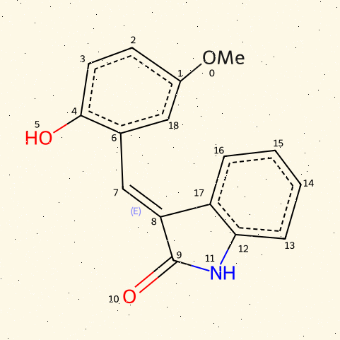 COc1ccc(O)c(/C=C2/C(=O)Nc3ccccc32)c1